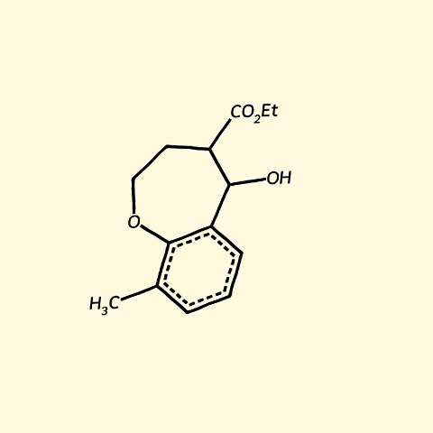 CCOC(=O)C1CCOc2c(C)cccc2C1O